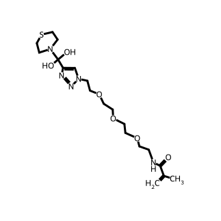 C=C(C)C(=O)NCCOCCOCCOCCn1cc(C(O)(O)N2CCSCC2)nn1